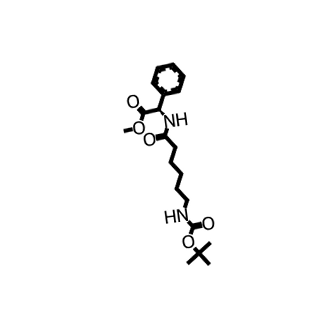 COC(=O)[C@H](NC(=O)CCCCCNC(=O)OC(C)(C)C)c1ccccc1